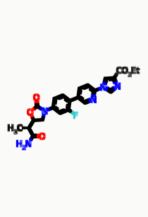 CCOC(=O)c1cn(-c2ccc(-c3ccc(N4CC([C@H](C)C(N)=O)OC4=O)cc3F)cn2)cn1